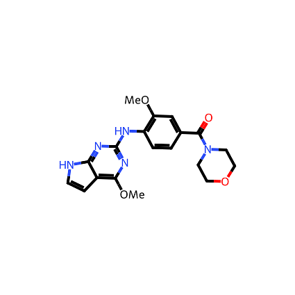 COc1cc(C(=O)N2CCOCC2)ccc1Nc1nc(OC)c2cc[nH]c2n1